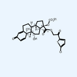 CCOC(=O)O[C@]1(C(=O)OCC(=O)c2ccc(Cl)s2)CC[C@H]2[C@@H]3CCC4=CC(=O)C=C[C@]4(C)[C@H]3[C@@H](O)C[C@@]21C